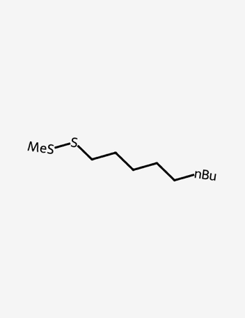 CCCCCCCCCSSC